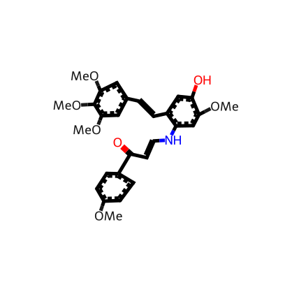 COc1ccc(C(=O)C=CNc2cc(OC)c(O)cc2C=Cc2cc(OC)c(OC)c(OC)c2)cc1